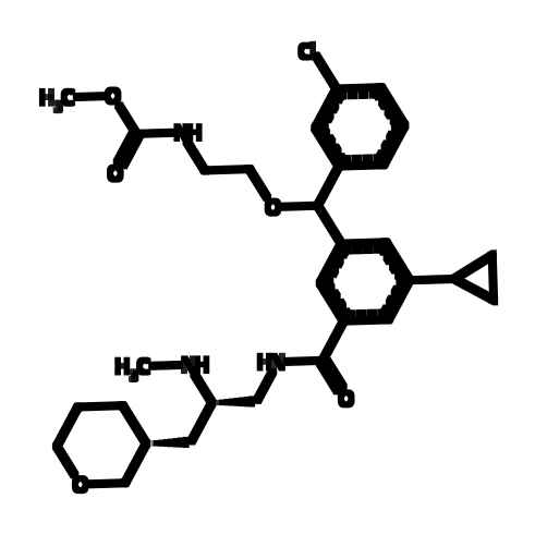 CN[C@H](CNC(=O)c1cc(C2CC2)cc(C(OCCNC(=O)OC)c2cccc(Cl)c2)c1)C[C@H]1CCCOC1